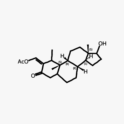 CC(=O)OC=C1C(=O)CC2CC[C@@H]3[C@@H](CC[C@]4(C)C(O)CC[C@@H]34)[C@@]2(C)C1C